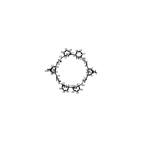 Cc1cc2c(O)c(c1)/C=N/Cc1cccc(n1)-c1cccc(n1)C/N=C/c1cc(C)cc(c1O)/C=N/Cc1cccc(n1)-c1cccc(n1)C/N=C/2